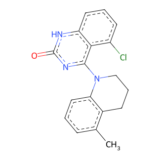 Cc1cccc2c1CCCN2c1nc(=O)[nH]c2cccc(Cl)c12